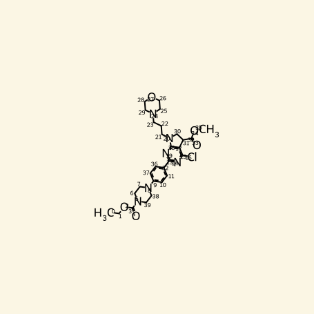 CCOC(=O)N1CCN(c2ccc(-c3nc(Cl)c4c(n3)N(CCCN3CCOCC3)CC4C(=O)OC)cc2)CC1